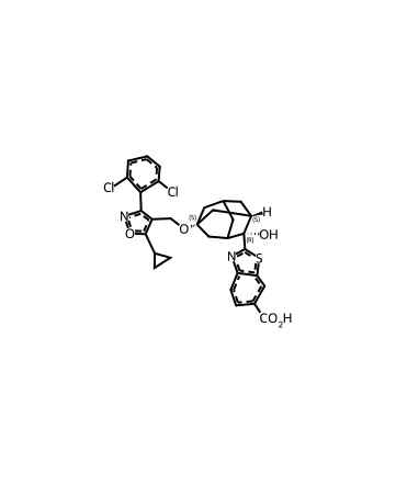 O=C(O)c1ccc2nc([C@@]3(O)C4CC5C[C@H]3C[C@](OCc3c(-c6c(Cl)cccc6Cl)noc3C3CC3)(C5)C4)sc2c1